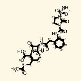 CC(=O)OCC1=C(C(=O)O)N2C(=O)C(NC(=O)Cc3ccccc3NC(=O)N3CCN(S(N)(=O)=O)C3=O)[C@H]2SC1